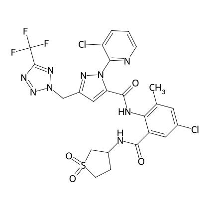 Cc1cc(Cl)cc(C(=O)NC2CCS(=O)(=O)C2)c1NC(=O)c1cc(Cn2nnc(C(F)(F)F)n2)nn1-c1ncccc1Cl